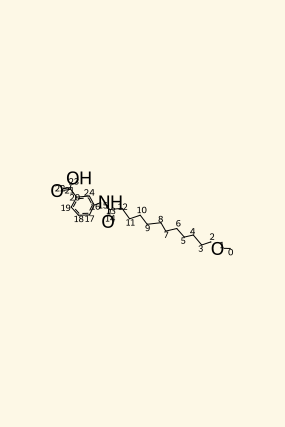 COCCCCCCCCCCCC(=O)Nc1cccc(C(=O)O)c1